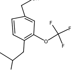 CC(C)Cc1ccc(CO)cc1OC(F)(F)F